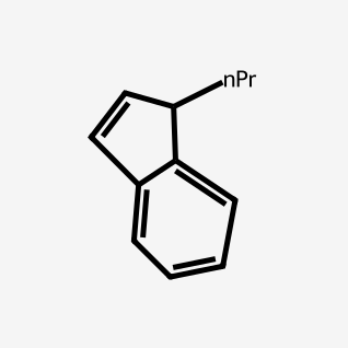 CCCC1C=Cc2ccccc21